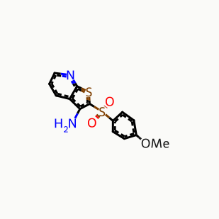 COc1ccc(S(=O)(=O)c2sc3ncccc3c2N)cc1